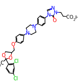 CC1(c2ccc(Cl)cc2Cl)OCC(COc2ccc(N3CCN(c4ccc(-n5cnn(CCC(=O)O)c5=O)cc4)CC3)cc2)O1